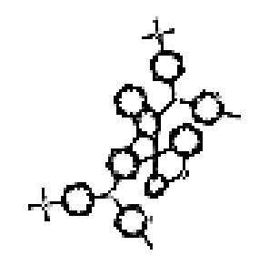 Cc1ccc(N(c2ccc([Si](C)(C)C)cc2)c2ccc3c(c2)C2(c4ccccc4Oc4ccccc42)c2cc(N(c4ccc([Si](C)(C)C)cc4)c4ccc(C)nc4)c4ccccc4c2-3)cn1